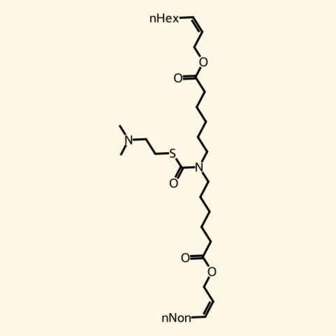 CCCCCC/C=C\COC(=O)CCCCCN(CCCCCC(=O)OC/C=C\CCCCCCCCC)C(=O)SCCN(C)C